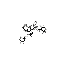 CC(CCCc1ccccc1)OC1=C2C=C(OCc3ccccc3)C(=O)CC2[C@@H]2CCCC[C@H]2C1